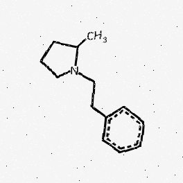 CC1CCCN1CCc1ccccc1